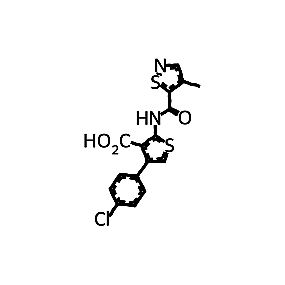 Cc1cnsc1C(=O)Nc1scc(-c2ccc(Cl)cc2)c1C(=O)O